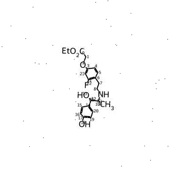 CCOC(=O)COc1ccc(CCN[C@@H](C)[C@H](O)c2ccc(O)cc2)c(F)c1